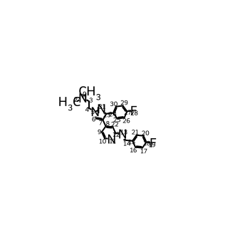 CN(C)CCn1cc(-c2ccnc(N=Cc3ccc(F)cc3)c2)c(-c2ccc(F)cc2)n1